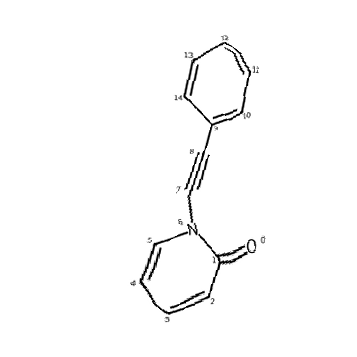 O=c1ccccn1C#Cc1ccccc1